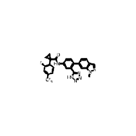 Cn1ncc2ccc(-c3ccc(NC(=O)C4(c5ccc(C(F)(F)F)cc5F)CC4)cc3-c3nnn[nH]3)cc21